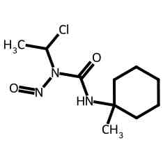 CC(Cl)N(N=O)C(=O)NC1(C)CCCCC1